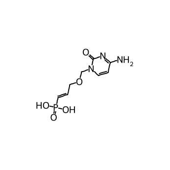 Nc1ccn(COCC=CP(=O)(O)O)c(=O)n1